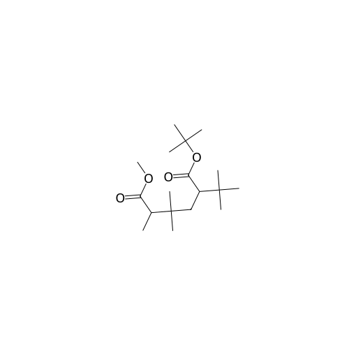 COC(=O)C(C)C(C)(C)CC(C(=O)OC(C)(C)C)C(C)(C)C